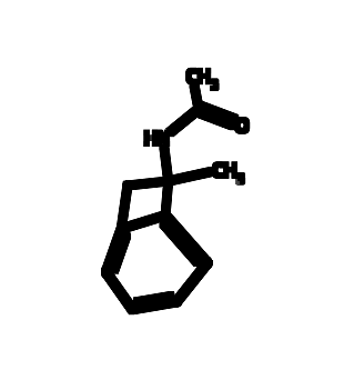 CC(=O)NC1(C)Cc2ccccc21